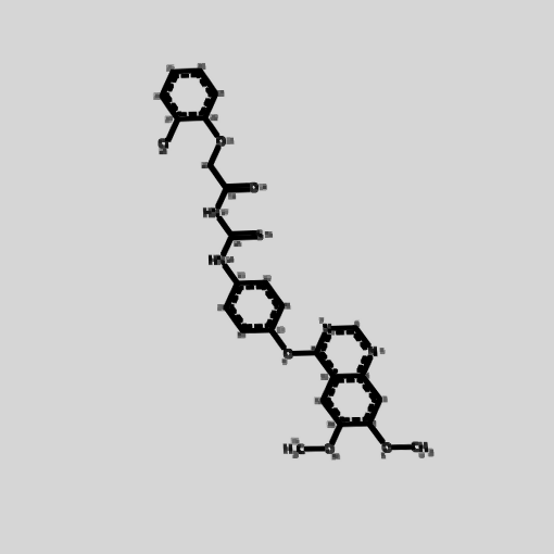 COc1cc2ncnc(Oc3ccc(NC(=S)NC(=O)COc4ccccc4Cl)cc3)c2cc1OC